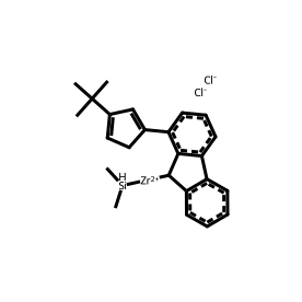 C[SiH](C)[Zr+2][CH]1c2ccccc2-c2cccc(C3=CC(C(C)(C)C)=CC3)c21.[Cl-].[Cl-]